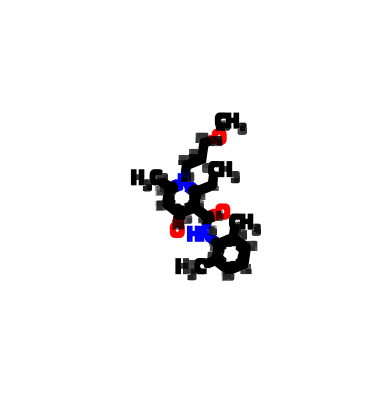 CCc1c(C(=O)Nc2c(C)cccc2C)c(=O)cc(C)n1CCCOC